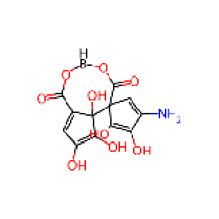 NC1=CC2(C(=O)OBOC(=O)C3=CC(O)=C(O)C32O)C(O)=C1O